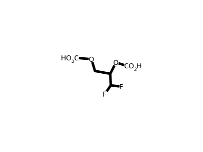 O=C(O)OCC(OC(=O)O)C(F)F